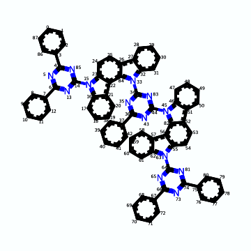 c1ccc(-c2nc(-c3ccccc3)nc(-n3c4ccccc4c4c3ccc3c5ccccc5n(-c5nc(-c6ccccc6)nc(-n6c7ccccc7c7ccc8c(c9ccccc9n8-c8nc(-c9ccccc9)nc(-c9ccccc9)n8)c76)n5)c34)n2)cc1